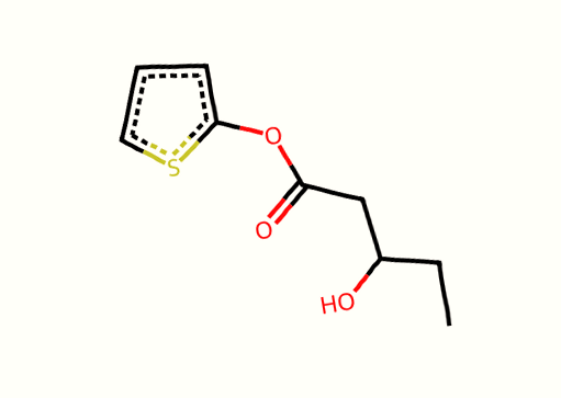 CCC(O)CC(=O)Oc1cccs1